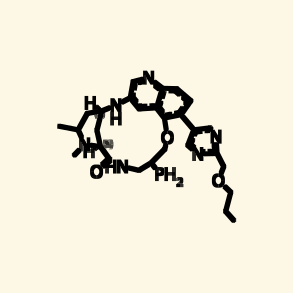 CCCOCc1ncc(-c2ccc3ncc4cc3c2OCC(P)CNC(=O)[C@@H]2C[C@H](CC(C)N2C)N4)cn1